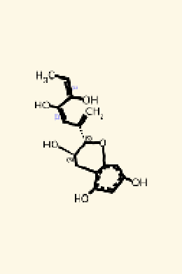 C=C(/C=C(O)\C(O)=C/C)[C@@H]1Oc2cc(O)cc(O)c2C[C@H]1O